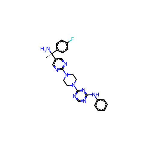 C[C@](N)(c1ccc(F)cc1)c1cnc(N2CCN(c3ncnc(Nc4ccccc4)n3)CC2)nc1